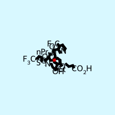 CCC[C@H]1N(C(=O)c2cnccc2C(F)(F)F)CCC[C@@]1(Oc1csc(C(F)(F)F)c1)C(=O)N(C)CCC(O)(CC)c1ccccc1OCCCC(=O)O